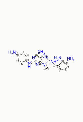 CC(C)n1c(NCc2cccc(N)c2N)nc2c(N)nc(NC3CCC(N)CC3)nc21